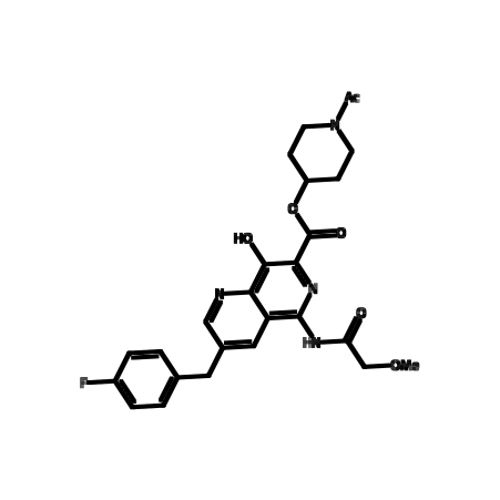 COCC(=O)Nc1nc(C(=O)OC2CCN(C(C)=O)CC2)c(O)c2ncc(Cc3ccc(F)cc3)cc12